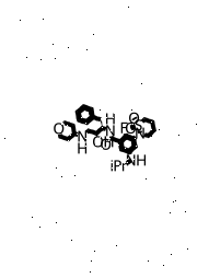 CC(C)Nc1cc(C(=O)N[C@@H](Cc2ccccc2)[C@H](O)CNC2CCOCC2)c(F)c(N2CCCCS2(=O)=O)c1